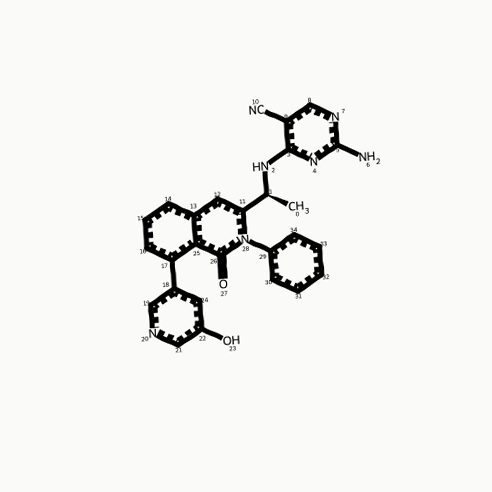 C[C@H](Nc1nc(N)ncc1C#N)c1cc2cccc(-c3cncc(O)c3)c2c(=O)n1-c1ccccc1